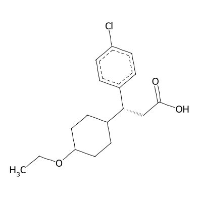 CCOC1CCC([C@@H](CC(=O)O)c2ccc(Cl)cc2)CC1